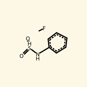 CF.O=[SH](=O)Nc1ccccc1